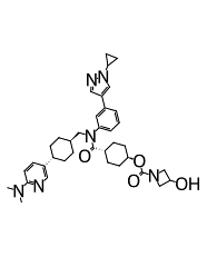 CN(C)c1ccc([C@H]2CC[C@H](CN(c3cccc(-c4cnn(C5CC5)c4)c3)C(=O)[C@H]3CC[C@H](OC(=O)N4CC(O)C4)CC3)CC2)cn1